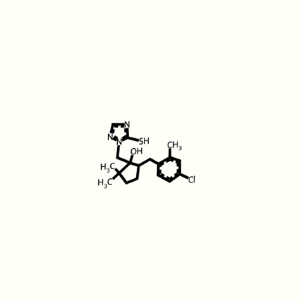 Cc1cc(Cl)ccc1CC1CCC(C)(C)C1(O)Cn1ncnc1S